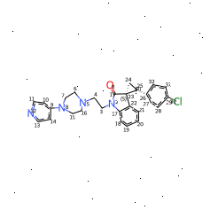 O=C1N(CCN2CCN(c3ccncc3)CC2)c2ccccc2[C@@]12C[C@@H]2c1ccc(Cl)cc1